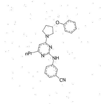 CCCc1cc(N2CC[C@H](Oc3ccccc3)C2)nc(Nc2cccc(C#N)c2)n1